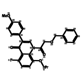 CCCOc1ccc(F)c2c(=O)c(-c3ccc(OC)cc3)cn(C(=O)COCc3ccccc3)c12